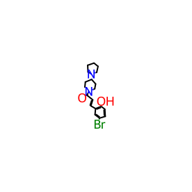 O=C(/C=C/c1cc(Br)ccc1O)N1CCC(N2CCCCC2)CC1